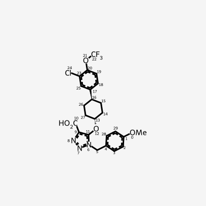 COc1ccc(Cn2nnc(C(=O)O)c2O[C@H]2CC[C@H](c3ccc(OC(F)(F)F)c(Cl)c3)CC2)cc1